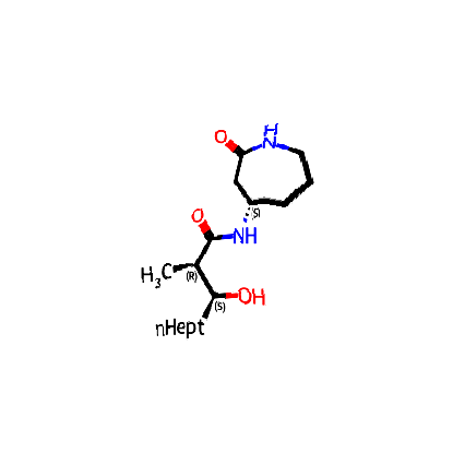 CCCCCCC[C@H](O)[C@@H](C)C(=O)N[C@H]1CCCNC(=O)C1